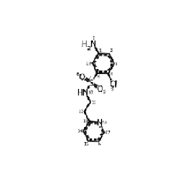 Nc1ccc(Cl)c(S(=O)(=O)NCCc2ccccn2)c1